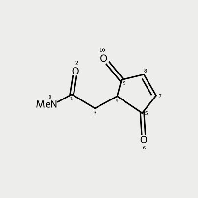 CNC(=O)CC1C(=O)C=CC1=O